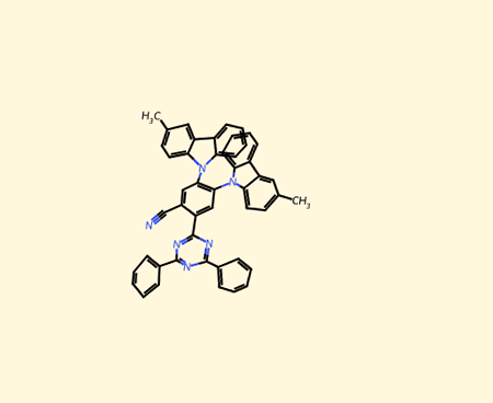 Cc1ccc2c(c1)c1ccccc1n2-c1cc(C#N)c(-c2nc(-c3ccccc3)nc(-c3ccccc3)n2)cc1-n1c2ccccc2c2cc(C)ccc21